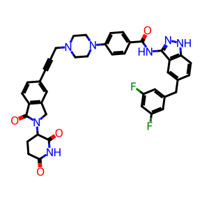 O=C1CCC(N2Cc3cc(C#CCN4CCN(c5ccc(C(=O)Nc6n[nH]c7ccc(Cc8cc(F)cc(F)c8)cc67)cc5)CC4)ccc3C2=O)C(=O)N1